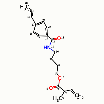 C=CC(C)C(=O)OCCCCNC(=O)c1ccc(/C=C/C)cc1